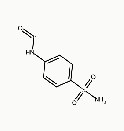 NS(=O)(=O)c1ccc(N[C]=O)cc1